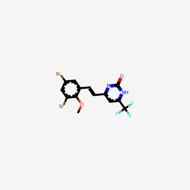 COc1c(Br)cc(Br)cc1C=Cc1cc(C(F)(F)F)[nH]c(=O)n1